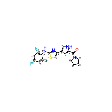 O=C(c1cc(-c2csc(Nc3c(F)cc(F)cc3F)n2)c[nH]1)N1CCCC1